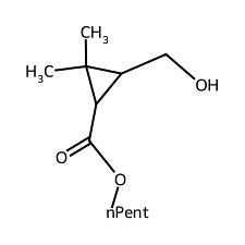 CCCCCOC(=O)C1C(CO)C1(C)C